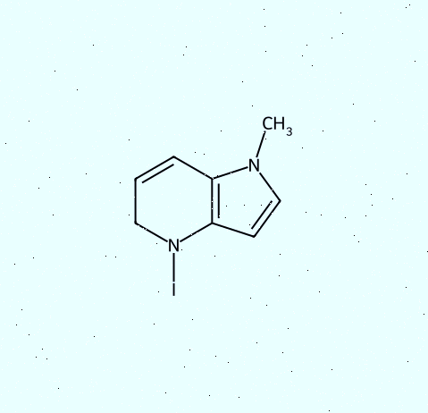 Cn1ccc2c1C=CCN2I